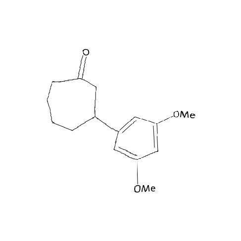 COc1cc(OC)cc(C2CCCCC(=O)C2)c1